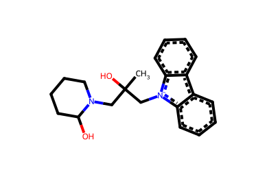 CC(O)(CN1CCCCC1O)Cn1c2ccccc2c2ccccc21